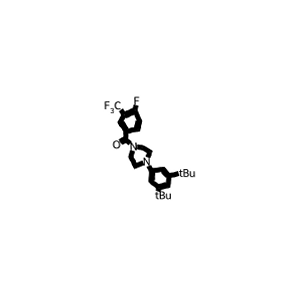 CC(C)(C)c1cc(N2CCN(C(=O)c3ccc(F)c(C(F)(F)F)c3)CC2)cc(C(C)(C)C)c1